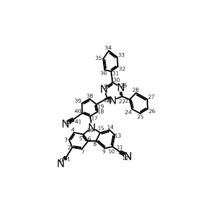 N#Cc1ccc2c(c1)c1cc(C#N)ccc1n2-c1cc(-c2nc(-c3ccccc3)nc(-c3ccccc3)n2)ccc1C#N